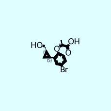 C[C@H](Oc1ccc(Br)cc1[C@H]1C[C@@H]1CO)C(=O)O